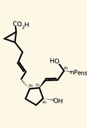 CCCCC[C@@H](O)C=C[C@@H]1[C@@H](CC=CCC2CC2C(=O)O)CC[C@H]1O